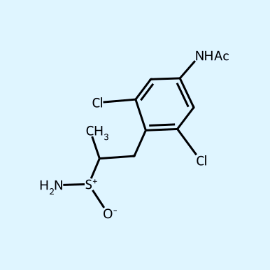 CC(=O)Nc1cc(Cl)c(CC(C)[S+](N)[O-])c(Cl)c1